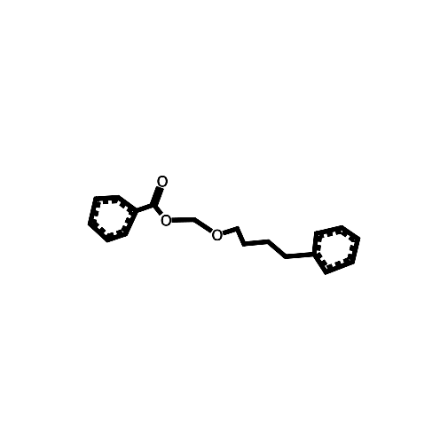 O=C(OCOCCCCc1ccccc1)c1ccccc1